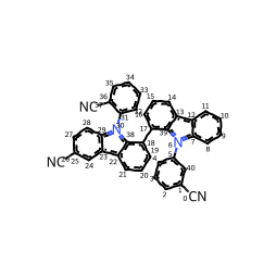 N#Cc1cccc(-n2c3ccccc3c3cccc(-c4cccc5c6cc(C#N)ccc6n(-c6ccccc6C#N)c45)c32)c1